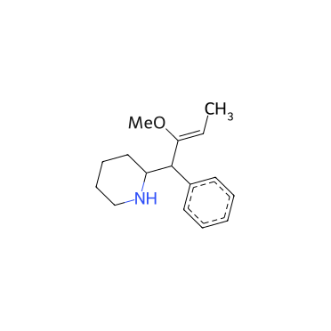 CC=C(OC)C(c1ccccc1)C1CCCCN1